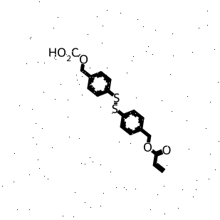 C=CC(=O)OCc1ccc(SSc2ccc(COC(=O)O)cc2)cc1